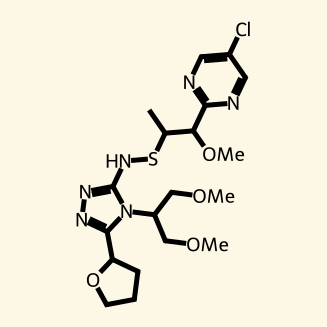 COCC(COC)n1c(NSC(C)C(OC)c2ncc(Cl)cn2)nnc1C1CCCO1